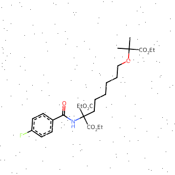 CCOC(=O)C(C)(C)OCCCCCCC(NC(=O)c1ccc(F)cc1)(C(=O)OCC)C(=O)OCC